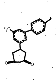 O=C1CC(=O)CC(c2cc(-c3ccc(F)cc3)cc(C(F)(F)F)c2)C1